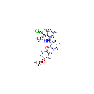 CO[C@H]1CC[C@H](Oc2ncccc2Nc2ncnc3sc(Cl)c(C)c23)CC1